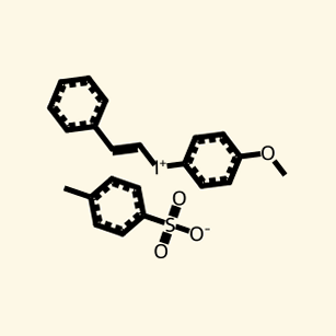 COc1ccc([I+]C=Cc2ccccc2)cc1.Cc1ccc(S(=O)(=O)[O-])cc1